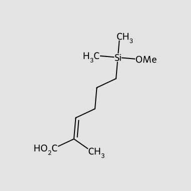 CO[Si](C)(C)CCCC=C(C)C(=O)O